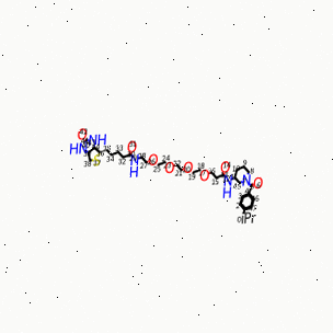 CC(C)c1ccc(C(=O)N2CCCC(NC(=O)CCOCCOCCOCCOCCNC(=O)CCCC[C@@H]3SCC4NC(=O)NC43)C2)cc1